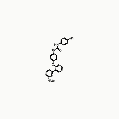 CNc1nccc(-c2cccnc2Oc2ccc(NC(=O)Nc3ccc(C(C)C)cc3)cc2)n1